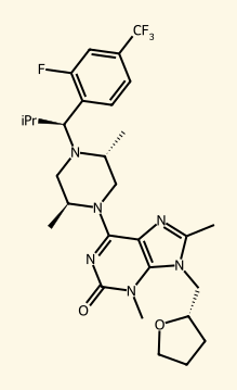 Cc1nc2c(N3C[C@@H](C)N([C@H](c4ccc(C(F)(F)F)cc4F)C(C)C)C[C@@H]3C)nc(=O)n(C)c2n1C[C@@H]1CCCO1